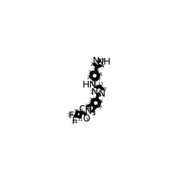 CC1(C(=O)N2Cc3ccc(-c4nccc(Nc5ccc(-c6cn[nH]c6)cc5)n4)cc3C2)CC(F)(F)C1